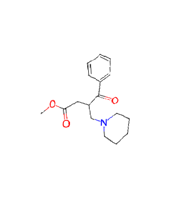 COC(=O)CC(CN1CCCCC1)C(=O)c1ccccc1